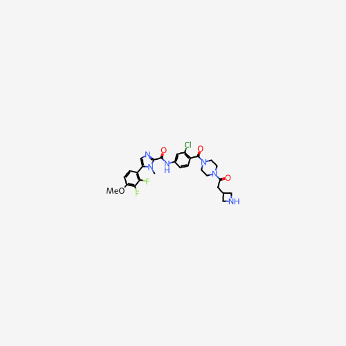 COc1ccc(-c2cnc(C(=O)Nc3ccc(C(=O)N4CCN(C(=O)CC5CNC5)CC4)c(Cl)c3)n2C)c(F)c1F